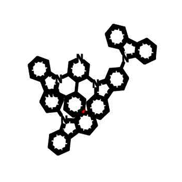 N#Cc1ccccc1-c1c(-n2c3ccccc3c3ccc(-n4c5ccccc5c5ccccc54)cc32)cncc1-n1c2ccccc2c2ccc(-n3c4ccccc4c4ccccc43)cc21